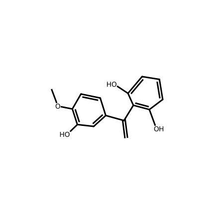 C=C(c1ccc(OC)c(O)c1)c1c(O)cccc1O